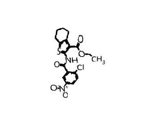 CCOC(=O)c1c(NC(=O)c2cc([N+](=O)[O-])ccc2Cl)sc2c1CCCC2